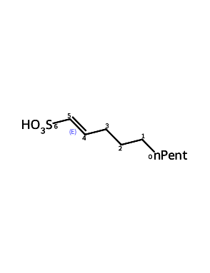 CCCCCCCC/C=C/S(=O)(=O)O